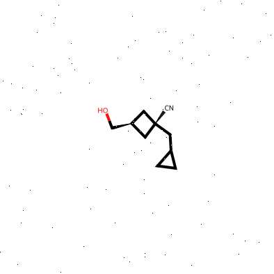 N#C[C@]1(CC2CC2)C[C@H](CO)C1